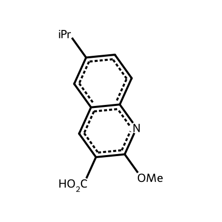 COc1nc2ccc(C(C)C)cc2cc1C(=O)O